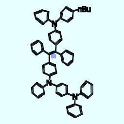 CCCCc1ccc(N(c2ccccc2)c2ccc(/C(=C(\c3ccccc3)c3ccc(N(c4ccccc4)c4ccc(N(c5ccccc5)c5ccccc5)cc4)cc3)c3ccccc3)cc2)cc1